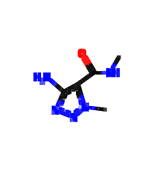 CNC(=O)c1c(N)nnn1C